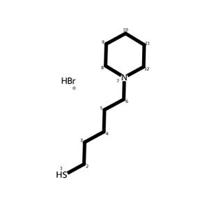 Br.SCCCCCN1CCCCC1